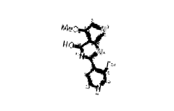 COc1cncc2nc(-c3ccncc3F)nc(O)c12